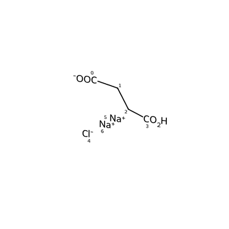 O=C([O-])CCC(=O)O.[Cl-].[Na+].[Na+]